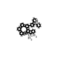 CC1(C)c2ccccc2-c2cc3c(cc21)S(=O)(=O)c1ccccc1-c1ccccc1-c1ccccc1-c1ccc(-c2ccc4c(c2)c2cccnc2n4-c2ccccn2)cc1-3